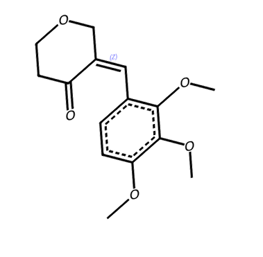 COc1ccc(/C=C2/COCCC2=O)c(OC)c1OC